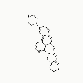 CC1(C)CCC(c2ccc3cc4c5c(nccc5c3c2)-c2cc3ccccc3cc2O4)CC1